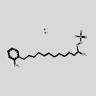 Cc1ccccc1CCCCCCCCCCCC(C)OOP(=O)([O-])[O-].[K+].[K+]